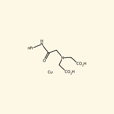 [CH2]CCNC(=O)CN(CC(=O)O)CC(=O)O.[Cu]